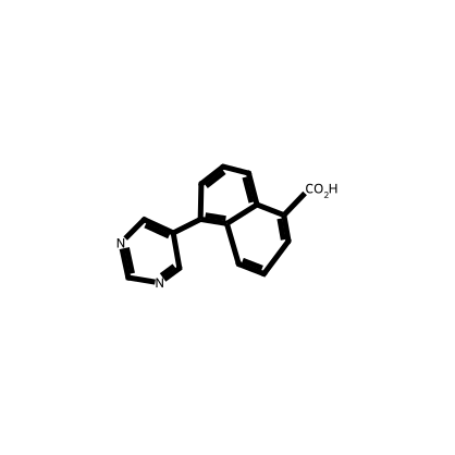 O=C(O)c1cccc2c(-c3cncnc3)cccc12